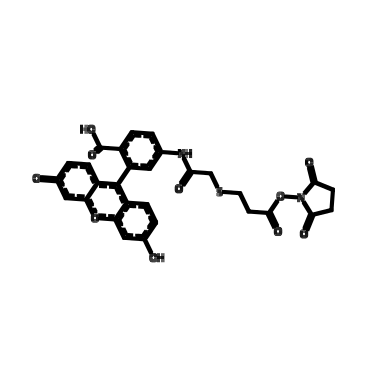 O=C(CSCCC(=O)ON1C(=O)CCC1=O)Nc1ccc(C(=O)O)c(-c2c3ccc(=O)cc-3oc3cc(O)ccc23)c1